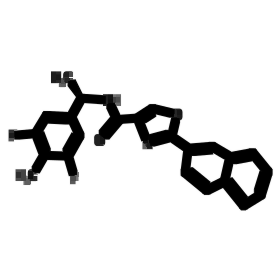 Cc1c(F)cc([C@@H](C)NC(=O)c2coc(-c3ccc4ccccc4c3)n2)cc1F